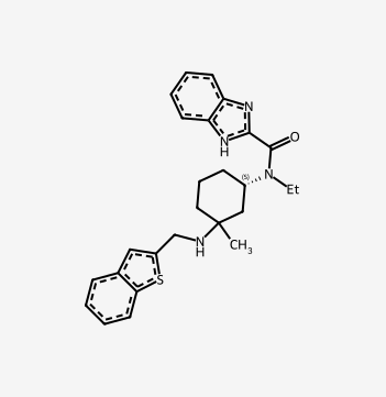 CCN(C(=O)c1nc2ccccc2[nH]1)[C@H]1CCCC(C)(NCc2cc3ccccc3s2)C1